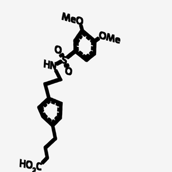 COc1ccc(S(=O)(=O)NCCc2ccc(CCCC(=O)O)cc2)cc1OC